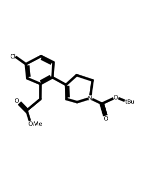 COC(=O)Cc1cc(Cl)ccc1C1=CCN(C(=O)OC(C)(C)C)CC1